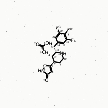 CC(=O)O.O=c1cc([C@@H]2CCN[C@@H](Cc3cc(F)c(F)c(F)c3)C2)o[nH]1